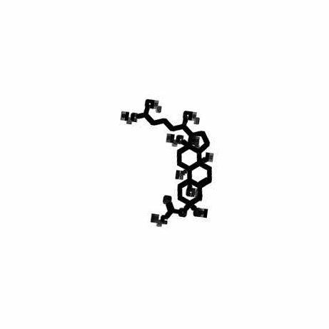 CC(=O)O[C@]1(O)CC[C@@]2(C)C(=CC[C@H]3[C@@H]4CC[C@H]([C@H](C)CCCC(C)C)[C@@]4(C)CC[C@@H]32)C1